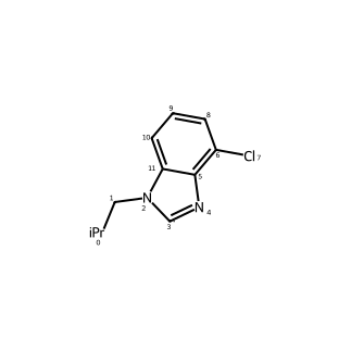 CC(C)Cn1[c]nc2c(Cl)cccc21